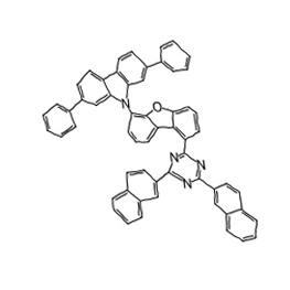 c1ccc(-c2ccc3c4ccc(-c5ccccc5)cc4n(-c4cccc5c4oc4cccc(-c6nc(-c7ccc8ccccc8c7)nc(-c7ccc8ccccc8c7)n6)c45)c3c2)cc1